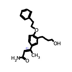 C/C(=C\C(N)=O)c1ccc(OCCc2ccccc2)c(CCCO)c1